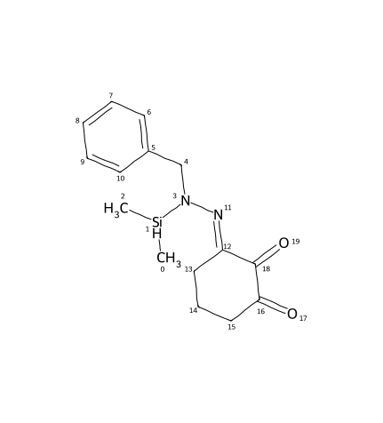 C[SiH](C)N(Cc1ccccc1)N=C1CCCC(=O)C1=O